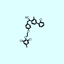 Cc1cc(Cl)c(OCCOc2ccc(CC(C#N)c3ccc(-c4ccccc4Cl)cc3C)cc2)c(Cl)c1